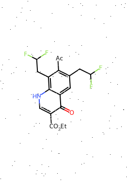 CCOC(=O)c1c[nH]c2c(CC(F)F)c(C(C)=O)c(CC(F)F)cc2c1=O